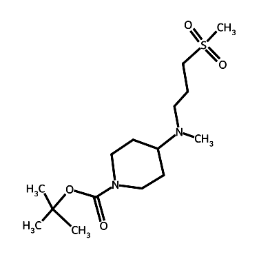 CN(CCCS(C)(=O)=O)C1CCN(C(=O)OC(C)(C)C)CC1